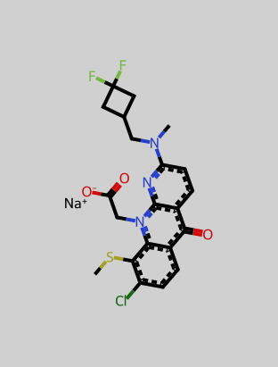 CSc1c(Cl)ccc2c(=O)c3ccc(N(C)CC4CC(F)(F)C4)nc3n(CC(=O)[O-])c12.[Na+]